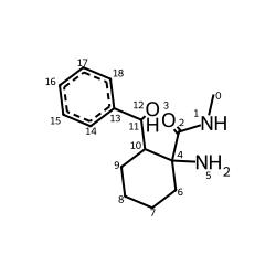 CNC(=O)C1(N)CCCCC1C(O)c1ccccc1